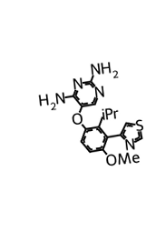 COc1ccc(Oc2cnc(N)nc2N)c(C(C)C)c1-c1cscn1